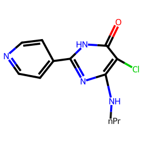 CCCNc1nc(-c2ccncc2)[nH]c(=O)c1Cl